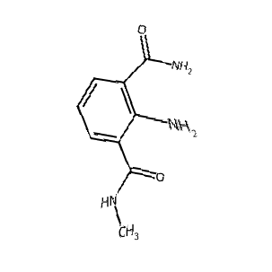 CNC(=O)c1cccc(C(N)=O)c1N